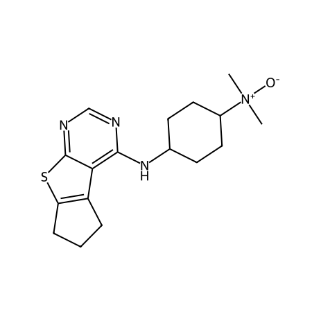 C[N+](C)([O-])C1CCC(Nc2ncnc3sc4c(c23)CCC4)CC1